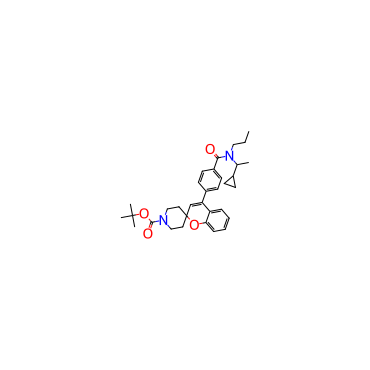 CCCN(C(=O)c1ccc(C2=CC3(CCN(C(=O)OC(C)(C)C)CC3)Oc3ccccc32)cc1)C(C)C1CC1